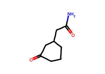 NC(=O)CC1CCCC(=O)C1